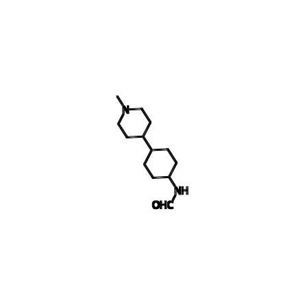 CN1CCC(C2CCC(NC=O)CC2)CC1